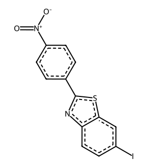 O=[N+]([O-])c1ccc(-c2nc3ccc(I)cc3s2)cc1